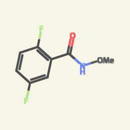 CONC(=O)c1cc(F)ccc1F